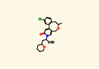 CC1Cc2ccc(Cl)cc2-c2cc(=O)n(C(C=O)CC3CCCCO3)cc2CO1